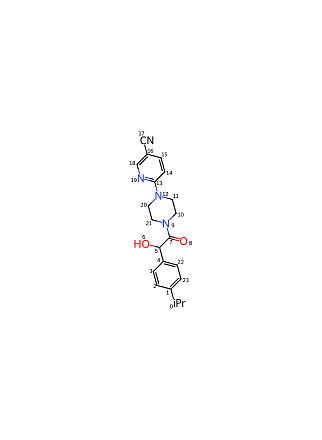 CC(C)c1ccc(C(O)C(=O)N2CCN(c3ccc(C#N)cn3)CC2)cc1